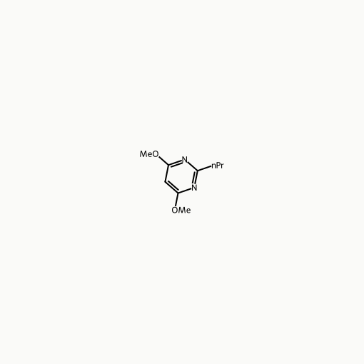 CCCc1nc(OC)cc(OC)n1